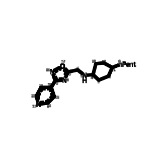 CCCCCC1CCC(NCc2nc(-c3ccncc3)no2)CC1